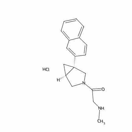 CNCC(=O)N1C[C@H]2C[C@@]2(c2ccc3ccccc3c2)C1.Cl